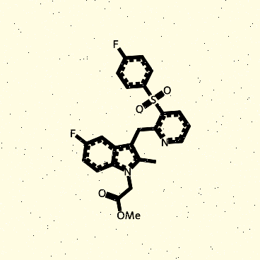 COC(=O)Cn1c(C)c(Cc2ncccc2S(=O)(=O)c2ccc(F)cc2)c2cc(F)ccc21